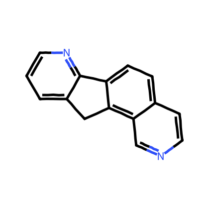 c1cnc2c(c1)Cc1c-2ccc2ccncc12